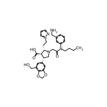 CCCCN(C(=O)CN1C[C@H](c2cc(CO)c3c(c2)OCO3)[C@@H](C(=O)O)[C@@H]1CCn1cccn1)c1cccc(CN)c1